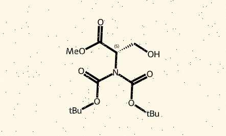 COC(=O)[C@H](CO)N(C(=O)OC(C)(C)C)C(=O)OC(C)(C)C